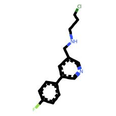 Fc1ccc(-c2cncc(CNCCCCl)c2)cc1